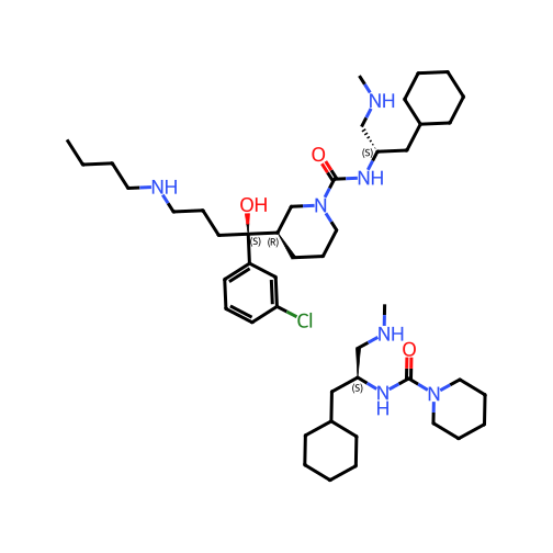 CCCCNCCC[C@@](O)(c1cccc(Cl)c1)[C@@H]1CCCN(C(=O)N[C@H](CNC)CC2CCCCC2)C1.CNC[C@H](CC1CCCCC1)NC(=O)N1CCCCC1